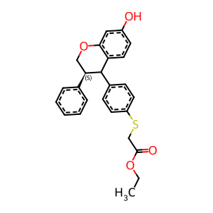 CCOC(=O)CSc1ccc(C2c3ccc(O)cc3OC[C@@H]2c2ccccc2)cc1